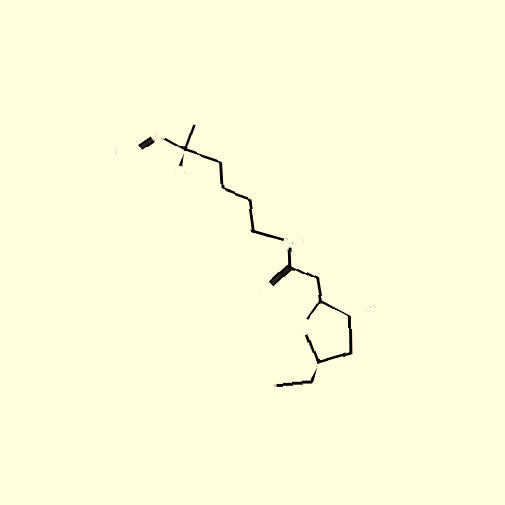 C=N[C@](C)(CCCCNC(=O)CC1O[C@H](CO)C[C@H]1O)C(=O)O